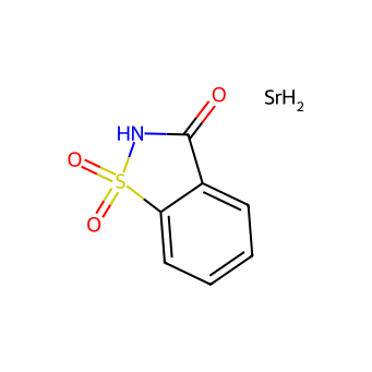 O=C1NS(=O)(=O)c2ccccc21.[SrH2]